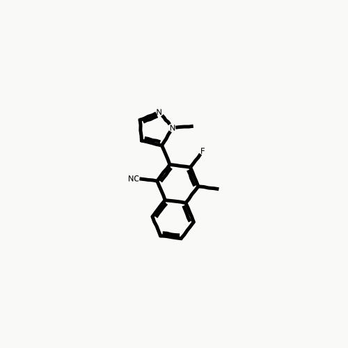 Cc1c(F)c(-c2ccnn2C)c(C#N)c2ccccc12